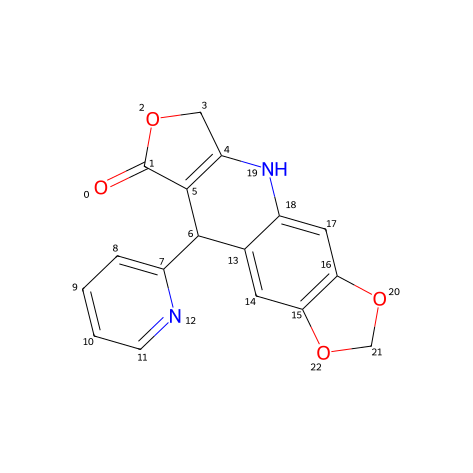 O=C1OCC2=C1C(c1ccccn1)c1cc3c(cc1N2)OCO3